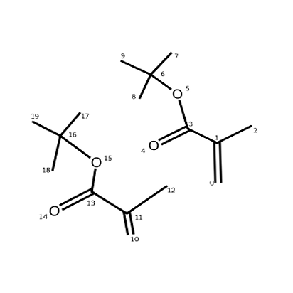 C=C(C)C(=O)OC(C)(C)C.C=C(C)C(=O)OC(C)(C)C